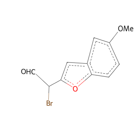 COc1ccc2oc(C(Br)C=O)cc2c1